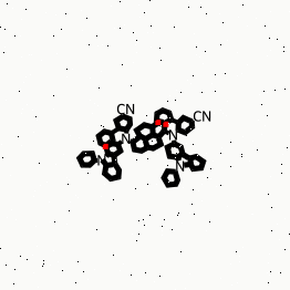 N#Cc1ccc(N(c2ccc3c(c2)c2ccccc2n3-c2ccccc2)c2ccc3ccc4c(N(c5ccc6c(c5)c5ccccc5n6-c5ccccc5)c5ccc(C#N)cc5-c5ccccc5)ccc5ccc2c3c54)c(-c2ccccc2)c1